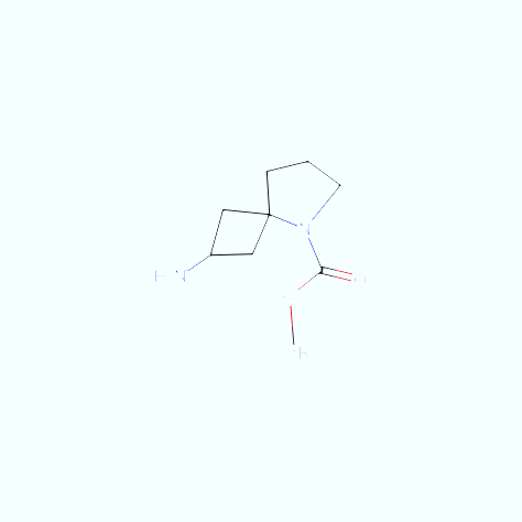 CC(C)(C)OC(=O)N1CCCC12CC(N)C2